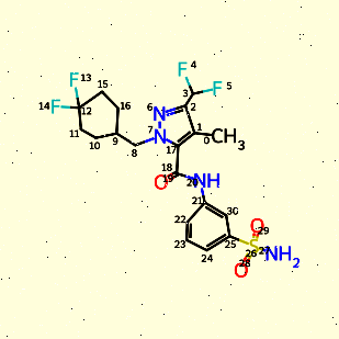 Cc1c(C(F)F)nn(CC2CCC(F)(F)CC2)c1C(=O)Nc1cccc(S(N)(=O)=O)c1